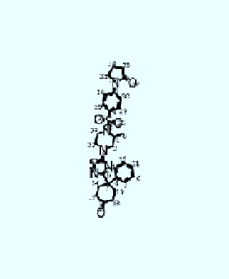 CC1CN(c2nc(C3(c4ccccc4)CCC(=O)CC3)ns2)CCN1S(=O)(=O)c1ccc(N2CCCC2=O)cc1